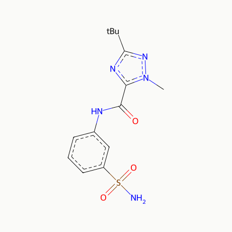 Cn1nc(C(C)(C)C)nc1C(=O)Nc1cccc(S(N)(=O)=O)c1